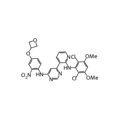 COc1cc(OC)c(Cl)c(Nc2ncccc2-c2cc(Nc3ccc(OC4COC4)cc3[N+](=O)[O-])ncn2)c1Cl